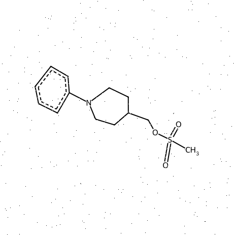 CS(=O)(=O)OCC1CCN(c2ccccc2)CC1